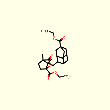 CC12CCC(C(=O)OCC(=O)O)(OC1=O)C2(C)CC1C2CC3CC1CC(C(=O)OCC(=O)O)(C3)C2